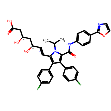 CC(C)n1c(/C=C/[C@@H](O)C[C@@H](O)CC(=O)O)c(-c2ccc(F)cc2)c(-c2ccc(F)cc2)c1C(=O)Nc1ccc(-c2ncco2)cc1